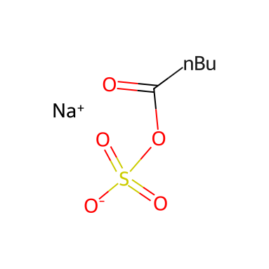 CCCCC(=O)OS(=O)(=O)[O-].[Na+]